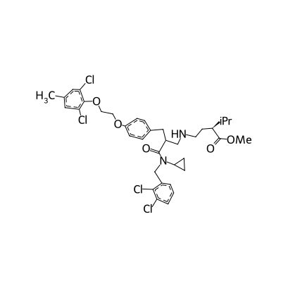 COC(=O)[C@@H](CCNCC(Cc1ccc(OCCOc2c(Cl)cc(C)cc2Cl)cc1)C(=O)N(Cc1cccc(Cl)c1Cl)C1CC1)C(C)C